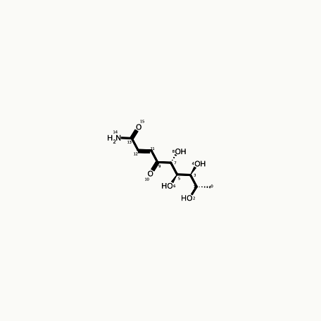 C[C@H](O)[C@H](O)[C@@H](O)[C@@H](O)C(=O)C=CC(N)=O